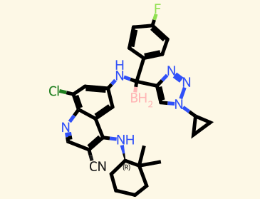 BC(Nc1cc(Cl)c2ncc(C#N)c(N[C@@H]3CCCCC3(C)C)c2c1)(c1ccc(F)cc1)c1cn(C2CC2)nn1